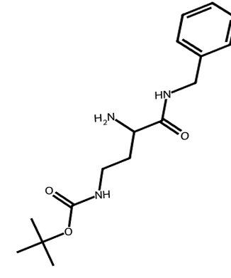 CC(C)(C)OC(=O)NCCC(N)C(=O)NCc1ccccc1